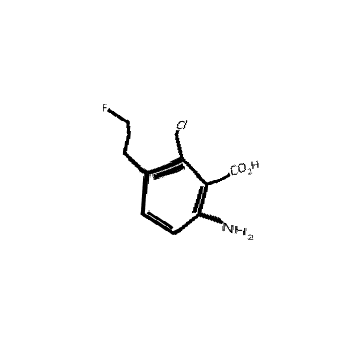 Nc1ccc(CCF)c(Cl)c1C(=O)O